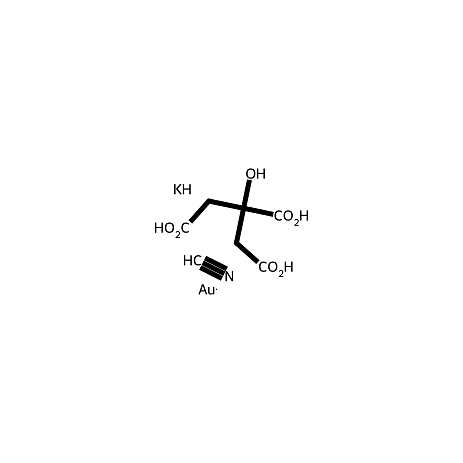 C#N.O=C(O)CC(O)(CC(=O)O)C(=O)O.[Au].[KH]